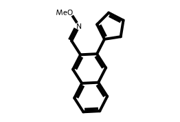 CON=Cc1cc2ccccc2cc1C1=CC=CC1